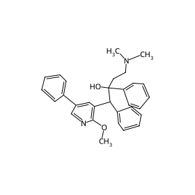 COc1ncc(-c2ccccc2)cc1C(c1ccccc1)C(O)(CCN(C)C)c1ccccc1